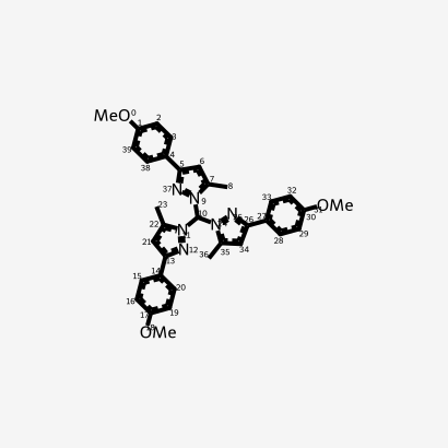 COc1ccc(-c2cc(C)n(C(n3nc(-c4ccc(OC)cc4)cc3C)n3nc(-c4ccc(OC)cc4)cc3C)n2)cc1